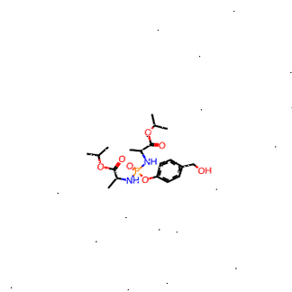 CC(C)OC(=O)C(C)NP(=O)(NC(C)C(=O)OC(C)C)Oc1ccc(CO)cc1